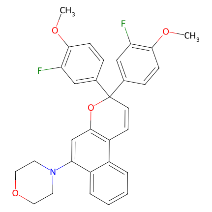 COc1ccc(C2(c3ccc(OC)c(F)c3)C=Cc3c(cc(N4CCOCC4)c4ccccc34)O2)cc1F